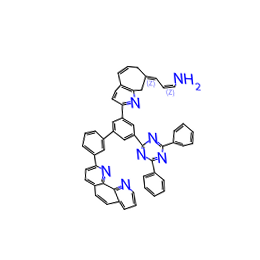 N/C=C\C=C1\CC=Cc2ccc(-c3cc(-c4cccc(-c5ccc6ccc7cccnc7c6n5)c4)cc(-c4nc(-c5ccccc5)nc(-c5ccccc5)n4)c3)nc2C1